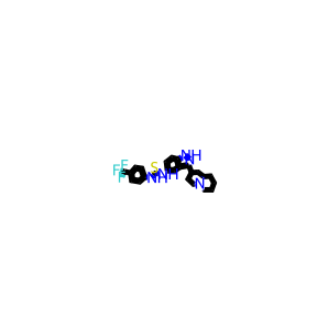 FC(F)(F)c1ccc(NC(=S)Nc2ccc3[nH]nc(C4CCN5CCCCC5C4)c3c2)cc1